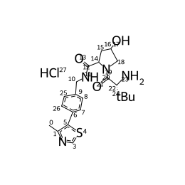 Cc1ncsc1-c1ccc(CNC(=O)C2CC(O)CN2C(=O)[C@H](N)C(C)(C)C)cc1.Cl